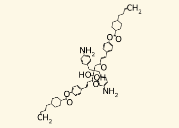 C=CCCC1CCC(C(=O)Oc2ccc(C=CC(=O)CC(Cc3ccc(N)cc3)(Cc3ccc(N)cc3)C(O)(O)C(=O)C=Cc3ccc(OC(=O)C4CCC(CCC=C)CC4)cc3)cc2)CC1